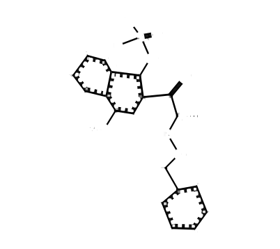 COc1cc(C(=O)[C@H](C)NOCc2ccccc2)c(OP(=O)(O)O)c2ccccc12